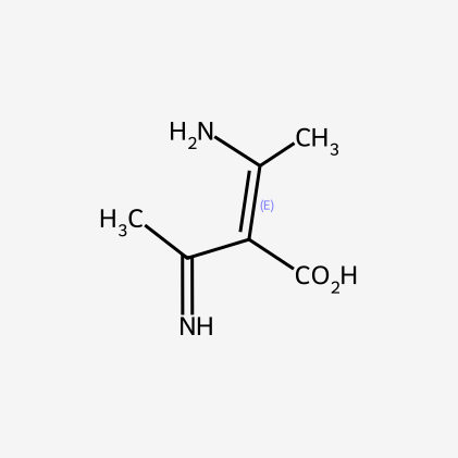 CC(=N)/C(C(=O)O)=C(/C)N